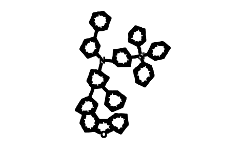 c1ccc(-c2cccc(N(c3ccc([Si](c4ccccc4)(c4ccccc4)c4ccccc4)cc3)c3ccc(-c4ccc5ccc6oc7ccccc7c6c5c4)c(-c4ccccc4)c3)c2)cc1